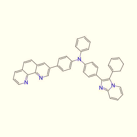 C1=CCCC(c2c(-c3ccc(N(c4ccccc4)c4ccc(-c5cnc6c(ccc7cccnc76)c5)cc4)cc3)nc3ccccn23)=C1